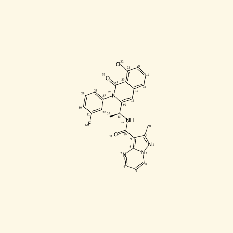 Cc1nn2cccnc2c1C(=O)N[C@@H](C)c1cc2cccc(Cl)c2c(=O)n1-c1cccc(F)c1